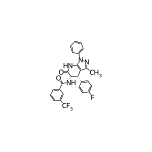 Cc1nn(-c2ccccc2)c2c1[C@H](c1ccc(F)cc1)[C@H](NC(=O)c1cccc(C(F)(F)F)c1)C(=O)N2